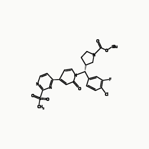 CC(C)(C)OC(=O)N1CCC([C@H](c2ccc(Cl)c(F)c2)n2ccc(-c3ccnc(S(C)(=O)=O)n3)cc2=O)C1